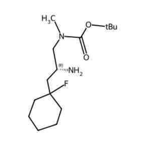 CN(C[C@H](N)CC1(F)CCCCC1)C(=O)OC(C)(C)C